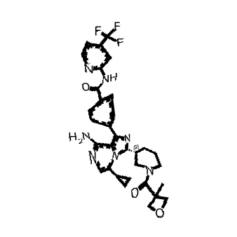 CC1(C(=O)N2CCC[C@@H](c3nc(-c4ccc(C(=O)Nc5cc(C(F)(F)F)ccn5)cc4)c4c(N)ncc(C5CC5)n34)C2)COC1